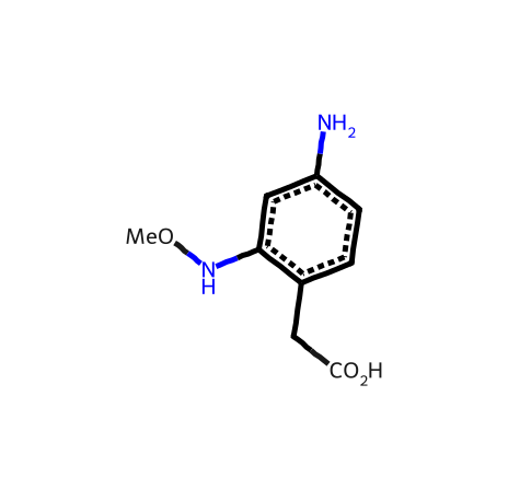 CONc1cc(N)ccc1CC(=O)O